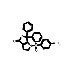 Cc1ccc(S(=O)(=O)N2CCC3=C2C(c2ccccc2)(c2ccccc2)OC3=O)cc1